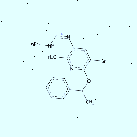 CCCN/C=N\c1cc(Br)c(OC(C)c2ccccc2)nc1C